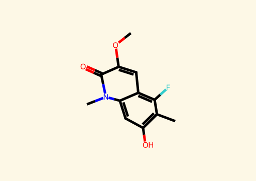 COc1cc2c(F)c(C)c(O)cc2n(C)c1=O